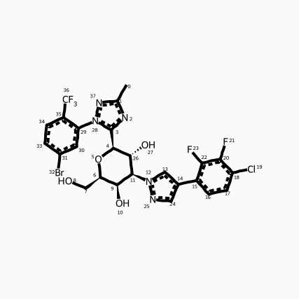 Cc1nc([C@@H]2O[C@H](CO)[C@H](O)[C@H](n3cc(-c4ccc(Cl)c(F)c4F)cn3)[C@H]2O)n(-c2cc(Br)ccc2C(F)(F)F)n1